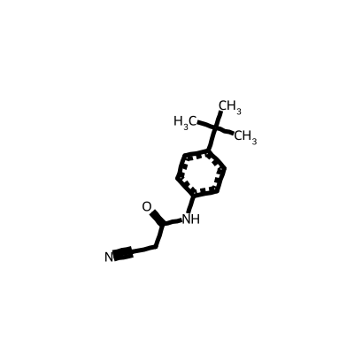 CC(C)(C)c1ccc(NC(=O)CC#N)cc1